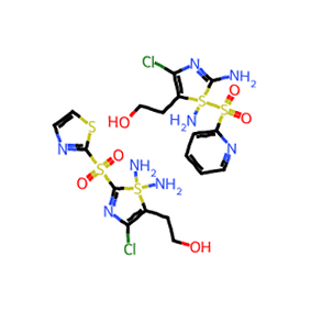 NC1=NC(Cl)=C(CCO)S1(N)S(=O)(=O)c1ccccn1.NS1(N)C(S(=O)(=O)c2nccs2)=NC(Cl)=C1CCO